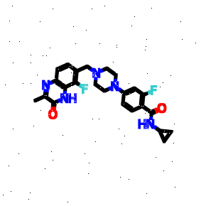 Cc1nc2ccc(CN3CCN(c4ccc(C(=O)NC5CC5)c(F)c4)CC3)c(F)c2[nH]c1=O